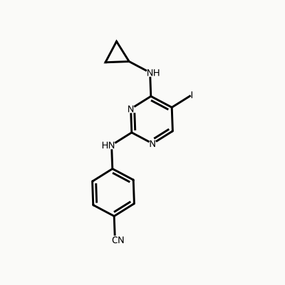 N#Cc1ccc(Nc2ncc(I)c(NC3CC3)n2)cc1